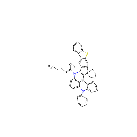 CCC/C=C(\C)N1C2=C(B3c4ccccc4N(c4ccccc4)c4cccc1c43)C1(CCCC1)c1cc3sc4ccccc4c3cc12